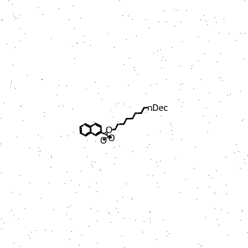 CCCCCCCCCCCCCCCCCCOS(=O)(=O)c1ccc2ccccc2c1